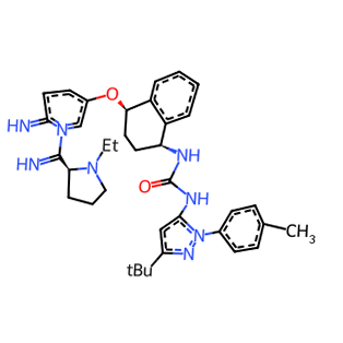 CCN1CCC[C@H]1C(=N)n1cc(O[C@@H]2CC[C@H](NC(=O)Nc3cc(C(C)(C)C)nn3-c3ccc(C)cc3)c3ccccc32)ccc1=N